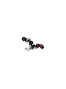 Cc1c(NC(=O)n2cc3ccccc3c2)cccc1-c1nc(N)nc2[nH]c(-c3ccc(CN4C5CCC4CN(C)C5)cc3)cc12